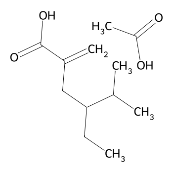 C=C(CC(CC)C(C)C)C(=O)O.CC(=O)O